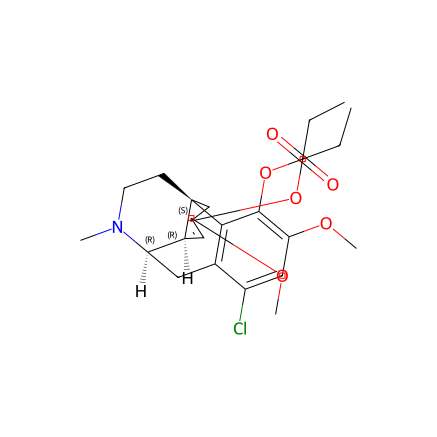 CCC(=O)Oc1c(OC)cc(Cl)c2c1[C@]13CCN(C)[C@H](C2)[C@@H]1C=C(OC)C(OC(=O)CC)C3